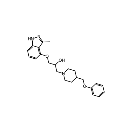 Cc1n[nH]c2cccc(OCC(O)CN3CCC(COc4ccccc4)CC3)c12